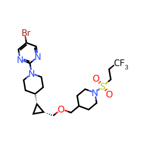 O=S(=O)(CCC(F)(F)F)N1CCC(COC[C@@H]2C[C@@H]2C2CCN(c3ncc(Br)cn3)CC2)CC1